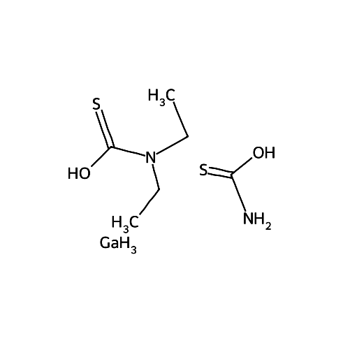 CCN(CC)C(O)=S.NC(O)=S.[GaH3]